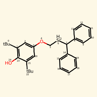 CC(C)(C)c1cc(OC[SiH2]C(c2ccccc2)c2ccccc2)cc(C(C)(C)C)c1O